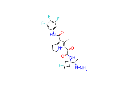 C/C(=N\N)C1(NC(=O)C(=O)c2c(C)c(C(=O)Nc3cc(F)c(F)c(F)c3)c3n2CCC3)CC(C)(F)C1